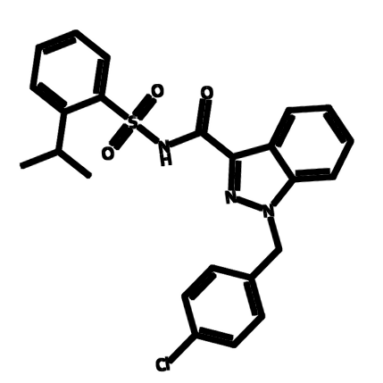 CC(C)c1ccccc1S(=O)(=O)NC(=O)c1nn(Cc2ccc(Cl)cc2)c2ccccc12